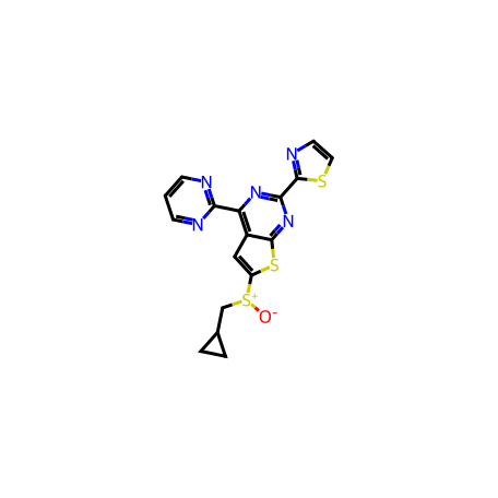 [O-][S+](CC1CC1)c1cc2c(-c3ncccn3)nc(-c3nccs3)nc2s1